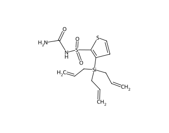 C=CC[Si](CC=C)(CC=C)c1ccsc1S(=O)(=O)NC(N)=O